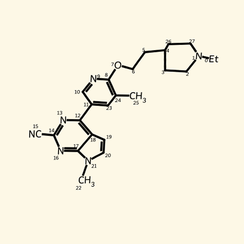 CCN1CCC(CCOc2ncc(-c3nc(C#N)nc4c3ccn4C)cc2C)CC1